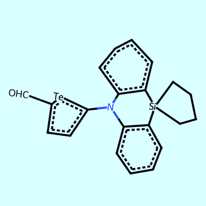 O=Cc1ccc(N2c3ccccc3[Si]3(CCCC3)c3ccccc32)[te]1